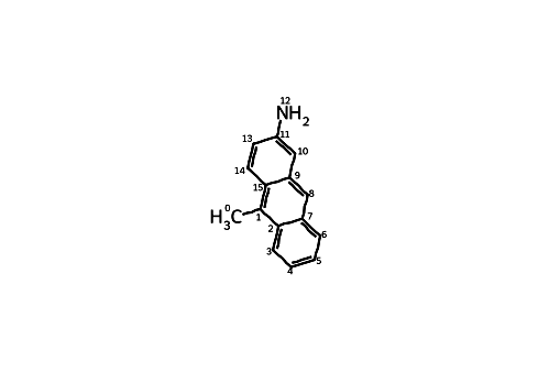 Cc1c2ccccc2cc2cc(N)ccc12